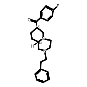 O=C(c1ccc(F)cc1)[C@@H]1CC[C@H]2CN(CCc3ccccc3)CCN2C1